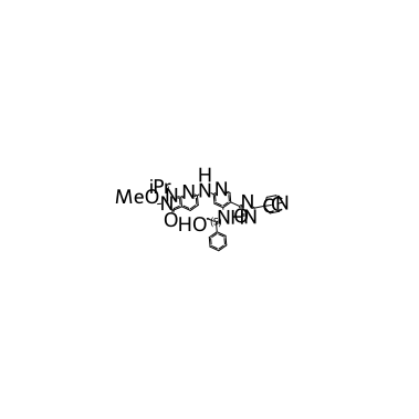 COCn1c(=O)c2ccc(Nc3cc(N[C@H](CO)c4ccccc4)c(-c4nc(C56CCN(CC5)CC6)no4)cn3)nc2n1C(C)C